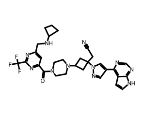 N#CCC1(n2cc(-c3ncnc4[nH]ccc34)cn2)CC(N2CCN(C(=O)c3cc(CNC4CCC4)nc(C(F)(F)F)n3)CC2)C1